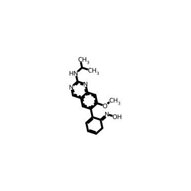 COc1cc2nc(NC(C)C)ncc2cc1C1=CC=CCC1=NO